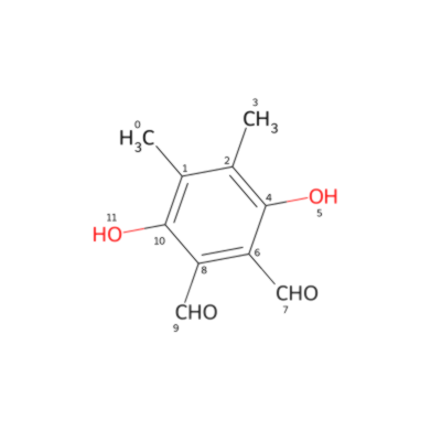 Cc1c(C)c(O)c(C=O)c(C=O)c1O